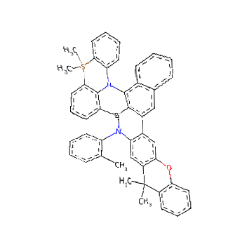 Cc1ccccc1N1B2c3cccc4c3N(c3ccccc3S4(C)C)c3c2c(cc2ccccc32)-c2cc3c(cc21)C(C)(C)c1ccccc1O3